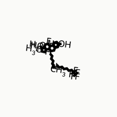 CN(CCCCCCCC(F)(F)C(F)(F)F)CCCCC[C@@H]1Cc2cc(O)ccc2[C@@H]2[C@@H]1[C@@H]1CC[C@@](C)(O)[C@@]1(C)C[C@@H]2F